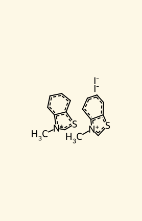 C[n+]1csc2ccccc21.C[n+]1csc2ccccc21.[I-].[I-]